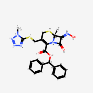 Cn1nnnc1SCC1=C(C(=O)OC(c2ccccc2)c2ccccc2)N2C(=O)/C(=N\O)[C@H]2SC1